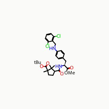 COC(=O)[C@H](Cc1ccc(NCc2c(Cl)cccc2Cl)cc1)NC(=O)C1CCC(C)(C(=O)OC(C)(C)C)C1(C)C